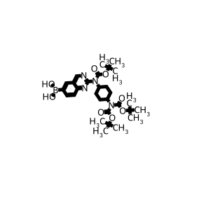 CC(C)(C)OC(=O)N(C(=O)OC(C)(C)C)C1CCC(N(C(=O)OC(C)(C)C)c2ncc3cc(B(O)O)ccc3n2)CC1